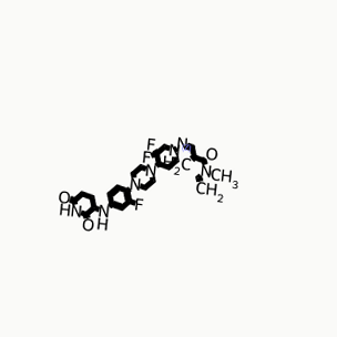 C=CN(C)C(=O)C(=C)/C=N\N1CCC(N2CCN(c3ccc(NC4CCC(=O)NC4=O)cc3F)CC2)C(F)(F)C1